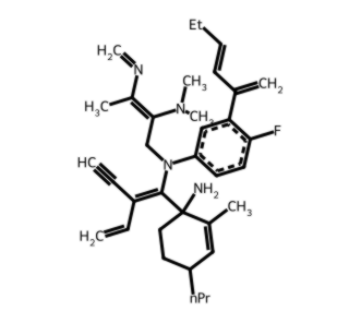 C#C/C(C=C)=C(\N(C/C(=C(\C)N=C)N(C)C)c1ccc(F)c(C(=C)/C=C/CC)c1)C1(N)CCC(CCC)C=C1C